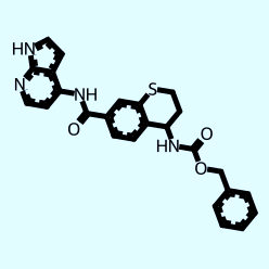 O=C(NC1CCSc2cc(C(=O)Nc3ccnc4[nH]ccc34)ccc21)OCc1ccccc1